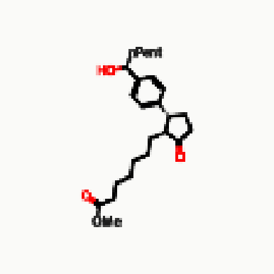 CCCCC[C@H](O)c1ccc([C@@H]2CCC(=O)[C@H]2CCCCCCC(=O)OC)cc1